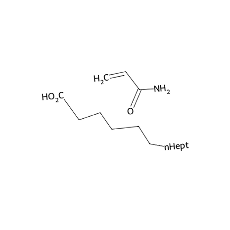 C=CC(N)=O.CCCCCCCCCCCCC(=O)O